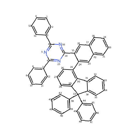 c1ccc(-c2nc(-c3ccccc3)nc(-c3cc4ccccc4cc3-c3cccc4c3-c3ccccc3C4(c3ccccc3)c3ccccc3)n2)cc1